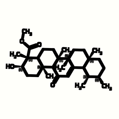 COC(=O)[C@]1(C)C2CC[C@]3(C)C(C(=O)C=C4C5[C@@H](C)[C@H](C)CC[C@]5(C)CC[C@]43C)[C@@]2(C)CC[C@@H]1O